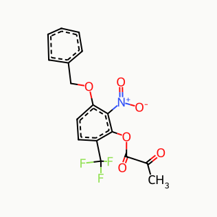 CC(=O)C(=O)Oc1c(C(F)(F)F)ccc(OCc2ccccc2)c1[N+](=O)[O-]